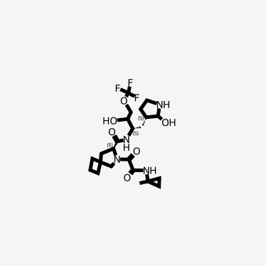 CC1(NC(=O)C(=O)N2CC3(CCC3)C[C@H]2C(=O)N[C@@H](C[C@@H]2CCNC2O)C(O)COC(F)(F)F)CC1